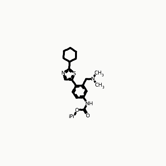 CC(C)OC(=O)Nc1ccc(-c2cnc(C3CCCCC3)s2)c(CN(C)C)c1